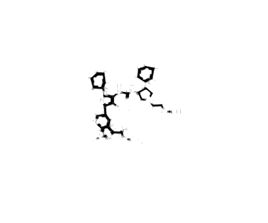 COCCN1C[C@@H](NC(=O)Nc2c(C)c(-c3cnc4c(c3)c(C(=O)OC)nn4C)nn2-c2ccccc2)[C@H](c2ccccc2)C1